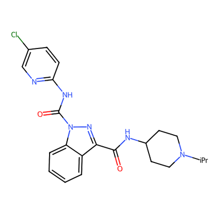 CC(C)N1CCC(NC(=O)c2nn(C(=O)Nc3ccc(Cl)cn3)c3ccccc23)CC1